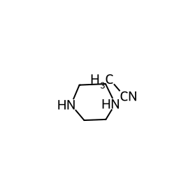 C1CNCCN1.CC#N